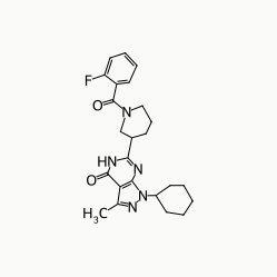 Cc1nn(C2CCCCC2)c2nc(C3CCCN(C(=O)c4ccccc4F)C3)[nH]c(=O)c12